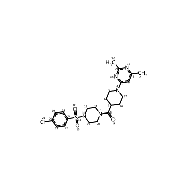 Cc1cc(N2CCC(C(=O)N3CCN(S(=O)(=O)c4ccc(Cl)cc4)CC3)CC2)nc(C)n1